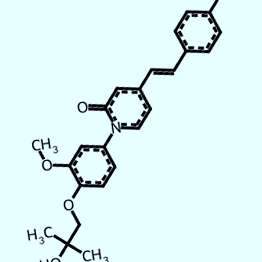 COc1cc(-n2ccc(C=Cc3ccc(Cl)cc3)cc2=O)ccc1OCC(C)(C)O